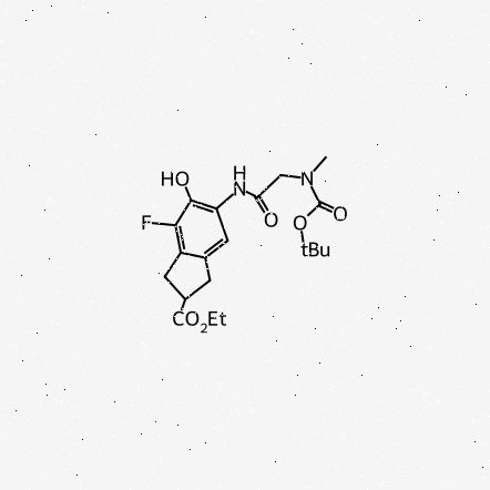 CCOC(=O)C1Cc2cc(NC(=O)CN(C)C(=O)OC(C)(C)C)c(O)c(F)c2C1